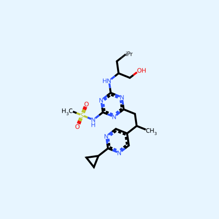 CC(C)CC(CO)Nc1nc(CC(C)c2cnc(C3CC3)nc2)nc(NS(C)(=O)=O)n1